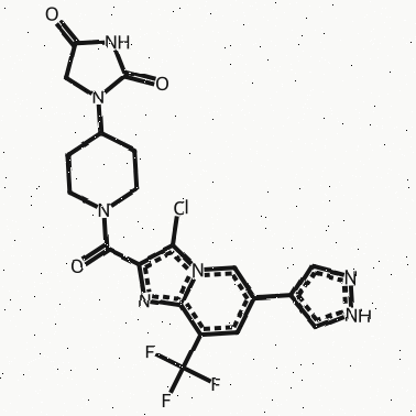 O=C1CN(C2CCN(C(=O)c3nc4c(C(F)(F)F)cc(-c5cn[nH]c5)cn4c3Cl)CC2)C(=O)N1